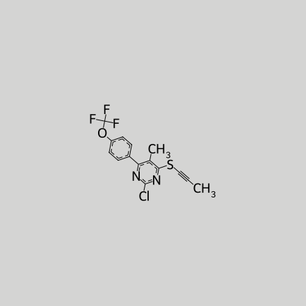 CC#CSc1nc(Cl)nc(-c2ccc(OC(F)(F)F)cc2)c1C